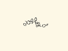 Cc1cc2oc(C(=O)N3C[C@H](C)N(Cc4ccc(F)cc4)C[C@H]3C)cc2cc1Cl